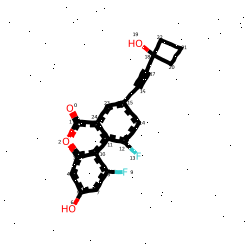 O=c1oc2cc(O)cc(F)c2c2c(F)cc(C#CC3(O)CCC3)cc12